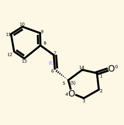 O=C1CCO[C@H](/C=C/c2ccccc2)C1